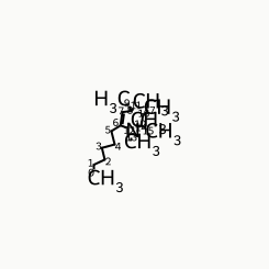 CCCCCC/C(=C/C(C)(C)C)N(C)C(C)CC